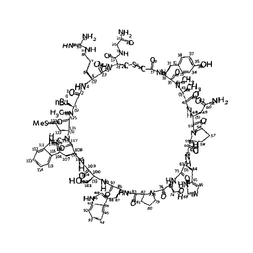 CCCC[C@H]1C(=O)N[C@@H](CCCNC(=N)N)C(=O)NC(C(=O)NCC(N)=O)CSCC(=O)N[C@@H](Cc2ccc(O)cc2)C(=O)N(C)[C@@H](C)C(=O)N[C@@H](CC(N)=O)C(=O)N2CCC[C@H]2C(=O)N[C@@H](Cc2cnc[nH]2)C(=O)N[C@@H](CO)C(=O)N2CCCC2C(=O)N[C@@H](Cc2c[nH]c3ccccc23)C(=O)N[C@@H](CO)C(=O)N[C@@H](Cc2c[nH]c3ccccc23)C(=O)N(C)[C@@H](CCSC)C(=O)N1C